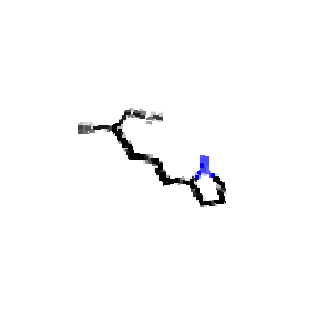 N#CC(=CC=Cc1ccc[nH]1)C(=O)O